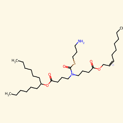 CCCCCC/C=C\COC(=O)CCCN(CCCC(=O)OC(CCCCCC)CCCCCC)C(=O)SCCCN